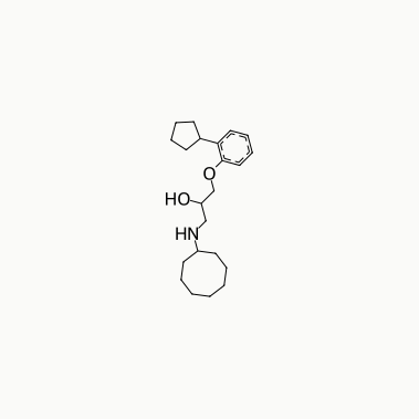 OC(CNC1CCCCCCC1)COc1ccccc1C1CCCC1